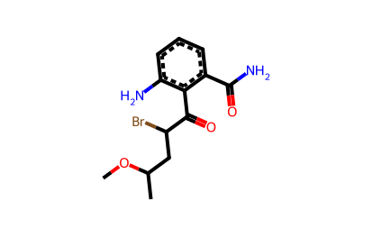 COC(C)CC(Br)C(=O)c1c(N)cccc1C(N)=O